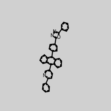 c1ccc(-c2ccc(-c3c4ccccc4c(-c4ccc(-c5nnc(-c6ccccc6)o5)cc4)c4ccccc34)cn2)cc1